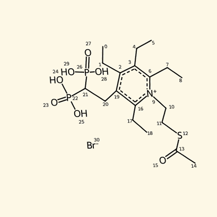 CCc1c(CC)c(CC)[n+](CCSC(C)=O)c(CC)c1CC(P(=O)(O)O)P(=O)(O)O.[Br-]